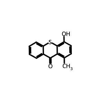 Cc1ccc(O)c2sc3ccccc3c(=O)c12